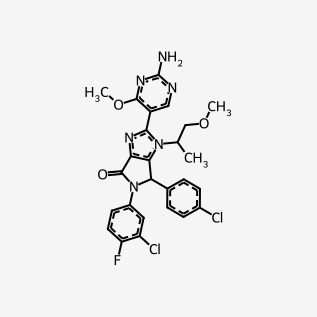 COCC(C)n1c(-c2cnc(N)nc2OC)nc2c1C(c1ccc(Cl)cc1)N(c1ccc(F)c(Cl)c1)C2=O